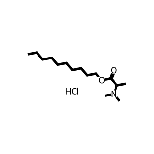 CCCCCCCCCCOC(=O)C(C)N(C)C.Cl